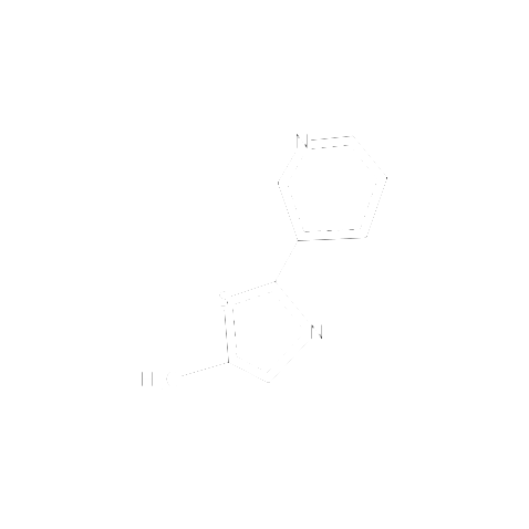 Cc1cnc(-c2cccnc2)s1